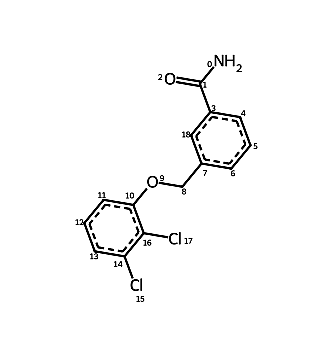 NC(=O)c1cccc(COc2cccc(Cl)c2Cl)c1